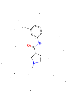 Cc1cccc(NC(=O)C2CCN(C)C2)c1